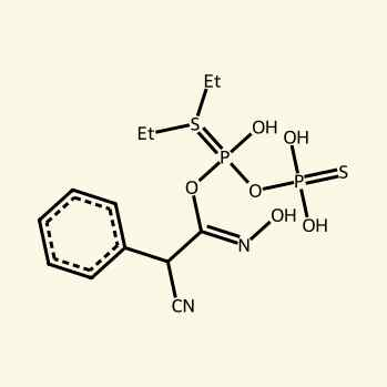 CCS(CC)=P(O)(OC(=NO)C(C#N)c1ccccc1)OP(O)(O)=S